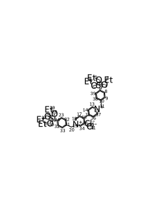 CCO[Si](OCC)(OCC)c1ccc(C[n+]2ccc(-c3cc[n+](Cc4ccc([Si](OCC)(OCC)OCC)cc4)cc3)cc2)cc1.[Cl-].[Cl-]